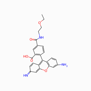 CCOCCNC(=O)c1ccc(-c2c3ccc(=N)cc-3oc3cc(N)ccc23)c(C(=O)O)c1